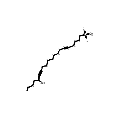 CCCCC(O)C#CCCCCCCCC#CCCCCS(=O)(=O)O